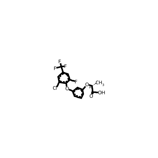 C[C@@H](Oc1cccc(Oc2c(F)cc(C(F)(F)F)cc2Cl)c1)C(=O)O